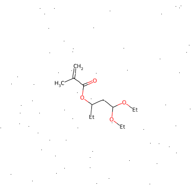 C=C(C)C(=O)OC(CC)CC(OCC)OCC